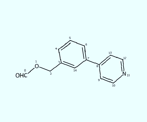 O=COCc1cccc(-c2ccncc2)c1